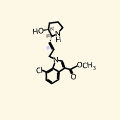 COC(=O)c1cn(C/C=C/[C@H]2NCCC[C@@H]2O)c2c(Cl)cccc12